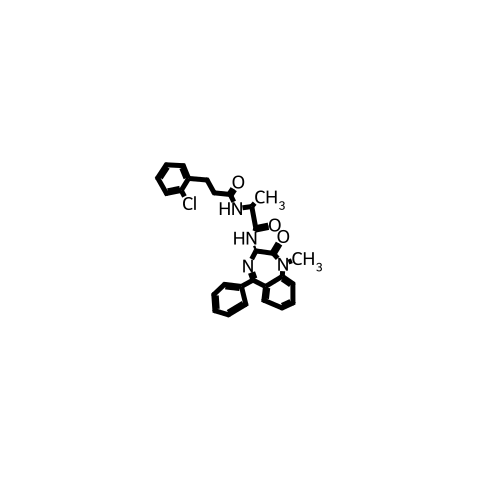 CC(NC(=O)CCc1ccccc1Cl)C(=O)N[C@H]1N=C(c2ccccc2)c2ccccc2N(C)C1=O